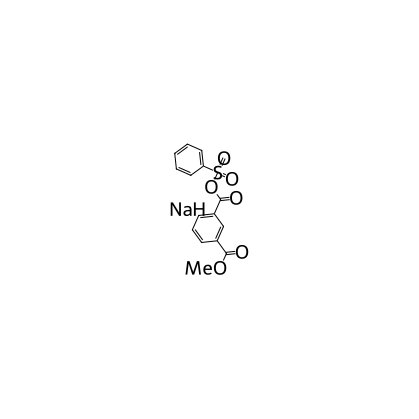 COC(=O)c1cccc(C(=O)OS(=O)(=O)c2ccccc2)c1.[NaH]